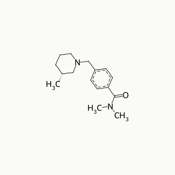 C[C@@H]1CCCN(Cc2ccc(C(=O)N(C)C)cc2)C1